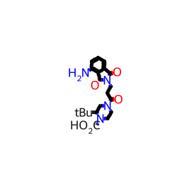 CC(C)(C)C1CN(C(=O)CCN2C(=O)c3cccc(N)c3C2=O)CCN1C(=O)O